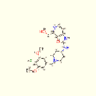 CCOc1cc(CN2CCC(Nc3nc4ccnc(CO)c4o3)CC2)cc(OCC)c1F